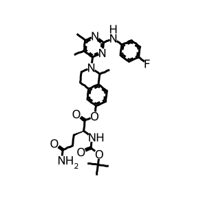 Cc1nc(Nc2ccc(F)cc2)nc(N2CCc3cc(OC(=O)[C@H](CCC(N)=O)NC(=O)OC(C)(C)C)ccc3C2C)c1C